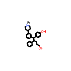 CC(C)N1CCC(c2cccc(/C(=C(/CCCO)c3ccccc3)c3ccc(O)cc3)c2)CC1